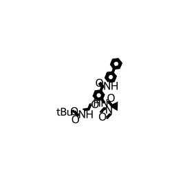 CC(C)(C)OC(=O)NCCCOc1ccc(C(=O)Nc2ccc(-c3ccccc3)cc2)cc1NC(=O)C1(N2CCOCC2)CC1